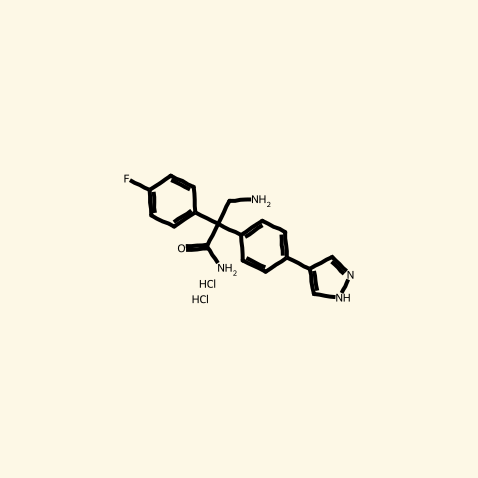 Cl.Cl.NCC(C(N)=O)(c1ccc(F)cc1)c1ccc(-c2cn[nH]c2)cc1